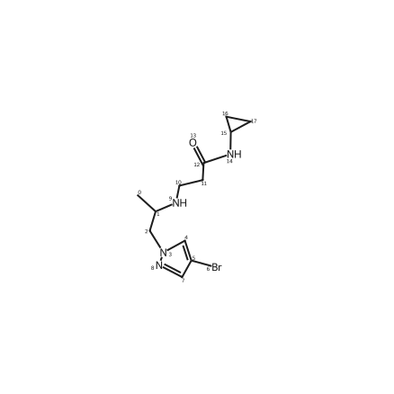 CC(Cn1cc(Br)cn1)NCCC(=O)NC1CC1